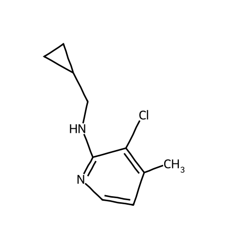 Cc1ccnc(NCC2CC2)c1Cl